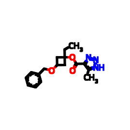 CCC1(OC(=O)c2nn[nH]c2C)CC(OCc2ccccc2)C1